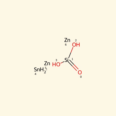 O=[Si](O)O.[SnH2].[Zn].[Zn]